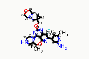 Cc1nc(N)cc(-c2nc3c4c(nc(OCC5(CN6CCOCC6)CC5)nc4c2F)N2CCNC[C@H]2[C@H](C)O3)c1C(F)(F)F